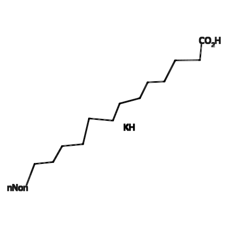 CCCCCCCCCCCCCCCCCCCCCC(=O)O.[KH]